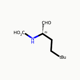 CC(C)(C)CC[C@@H](C=O)NC(=O)O